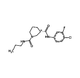 CCCNC(=O)N1CCC[C@H](C(=O)Nc2ccc(Cl)c(F)c2)C1